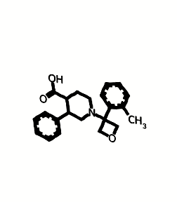 Cc1ccccc1C1(N2CCC(C(=O)O)C(c3ccccc3)C2)COC1